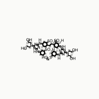 O=S(=O)(O)c1cccc(Nc2nc(Nc3ccc(C=Cc4ccc(Nc5nc(Nc6cccc(S(=O)(=O)O)c6)nc(N(CCO)CCO)n5)cc4S(=O)(=O)O)c(S(=O)(=O)O)c3)nc(N(CCO)CCO)n2)c1.[K]